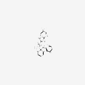 CC1=CC=CC(C(=O)O)C1(Cc1ccccn1)NS(=O)(=O)c1nc2ncc(C)cn2n1